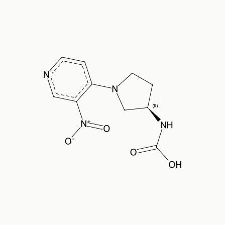 O=C(O)N[C@@H]1CCN(c2ccncc2[N+](=O)[O-])C1